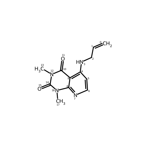 C=CCNc1ccnc2c1c(=O)n(C)c(=O)n2C